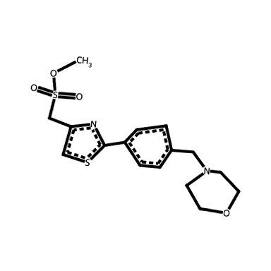 COS(=O)(=O)Cc1csc(-c2ccc(CN3CCOCC3)cc2)n1